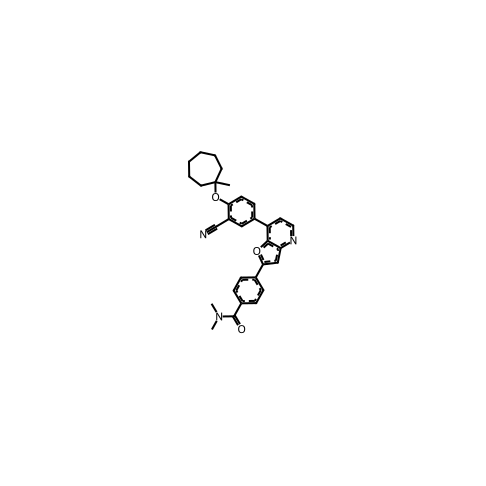 CN(C)C(=O)c1ccc(-c2cc3nccc(-c4ccc(OC5(C)CCCCCC5)c(C#N)c4)c3o2)cc1